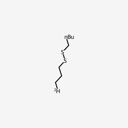 [2H]CCCSSCCCCC